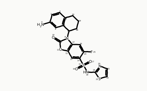 Nc1ccc2c(c1)C(n1c(=O)oc3cc(S(=O)(=O)Nc4nccs4)c(F)cc31)CCC2